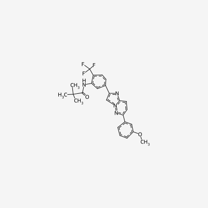 COc1cccc(-c2ccc3nc(-c4ccc(C(F)(F)F)c(NC(=O)C(C)(C)C)c4)cn3n2)c1